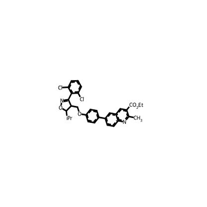 CCOC(=O)c1cc2cc(-c3ccc(OCC4C(c5c(Cl)cccc5Cl)=NOC4C(C)C)cc3)ccc2nc1C